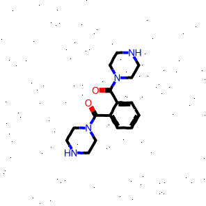 O=C(c1ccccc1C(=O)N1CCNCC1)N1CCNCC1